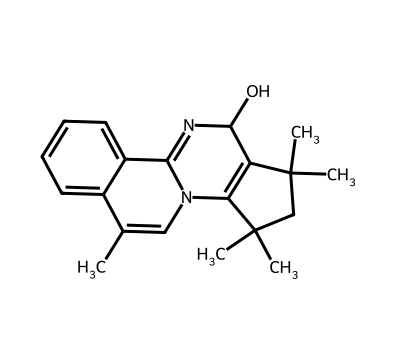 CC1=CN2C(=NC(O)C3=C2C(C)(C)CC3(C)C)c2ccccc21